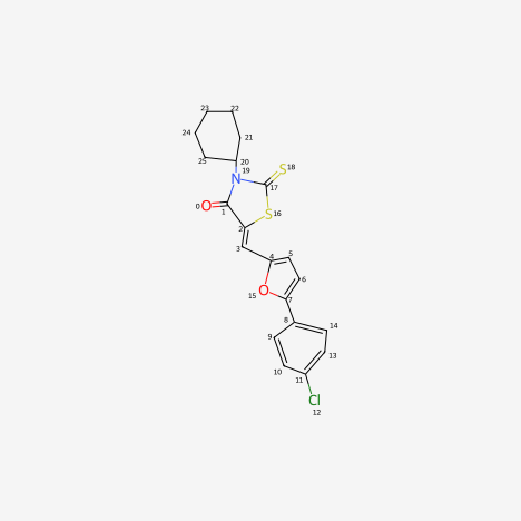 O=C1/C(=C/c2ccc(-c3ccc(Cl)cc3)o2)SC(=S)N1C1CCCCC1